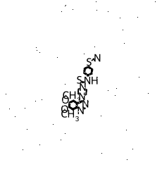 COc1cc2ncnc(N3CCN(C(=S)Nc4ccc(SC#N)cc4)CC3)c2cc1OC